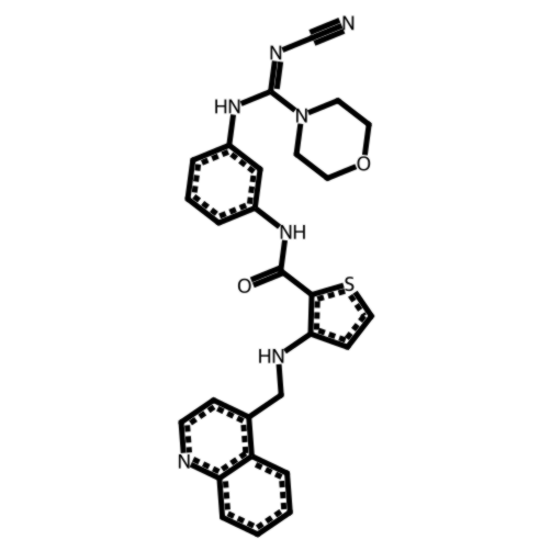 N#C/N=C(/Nc1cccc(NC(=O)c2sccc2NCc2ccnc3ccccc23)c1)N1CCOCC1